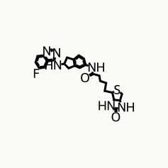 O=C(CCCCC1SCC2NC(=O)NC21)Nc1ccc2c(c1)CC(Nc1ncnc3ccc(F)cc13)C2